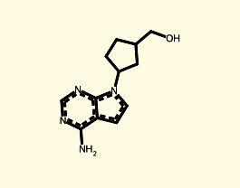 Nc1ncnc2c1ccn2C1CCC(CO)C1